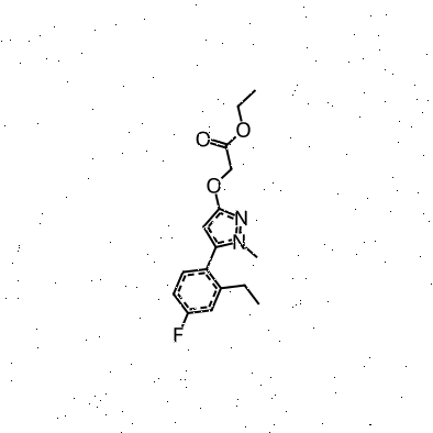 CCOC(=O)COc1cc(-c2ccc(F)cc2CC)n(C)n1